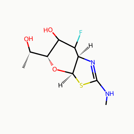 CNC1=N[C@@H]2C(F)C(O)[C@@H]([C@H](C)O)O[C@@H]2S1